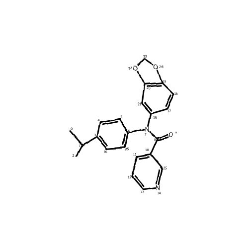 CC(C)c1ccc(N(C(=O)c2cccnc2)c2ccc3c(c2)OCO3)cc1